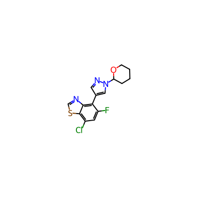 Fc1cc(Cl)c2scnc2c1-c1cnn(C2CCCCO2)c1